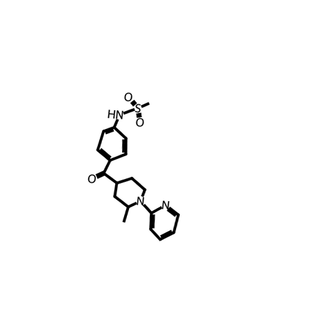 CC1CC(C(=O)c2ccc(NS(C)(=O)=O)cc2)CCN1c1ccccn1